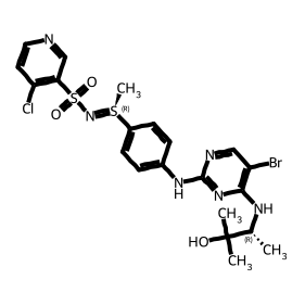 C[C@@H](Nc1nc(Nc2ccc([S@](C)=NS(=O)(=O)c3cnccc3Cl)cc2)ncc1Br)C(C)(C)O